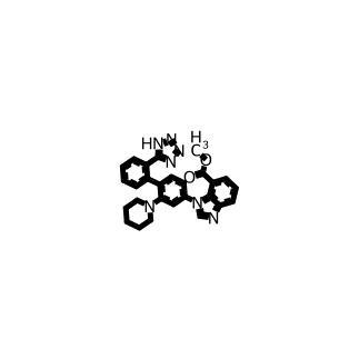 COC(=O)c1cccc2ncn(-c3ccc(-c4ccccc4-c4nnn[nH]4)c(N4CCCCC4)c3)c12